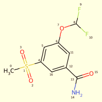 CS(=O)(=O)c1cc(OC(F)F)cc(C(N)=O)c1